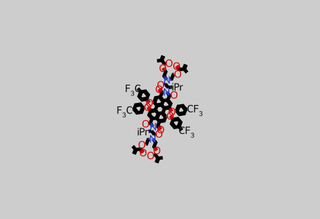 C=C(C)C(=O)OCCN(CCOC(=O)C(=C)C)C(=O)C(C(C)C)N1C(=O)c2cc(Oc3ccc(C(F)(F)F)cc3)c3c4c(Oc5ccc(C(F)(F)F)cc5)cc5c6c(cc(Oc7ccc(C(F)(F)F)cc7)c(c7c(Oc8ccc(C(F)(F)F)cc8)cc(c2c37)C1=O)c64)C(=O)N(C(C(=O)N(CCOC(=O)C(=C)C)CCOC(=O)C(=C)C)C(C)C)C5=O